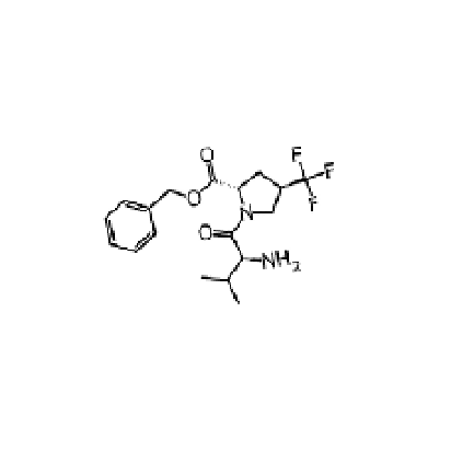 CC(C)[C@H](N)C(=O)N1C[C@H](C(F)(F)F)C[C@H]1C(=O)OCc1ccccc1